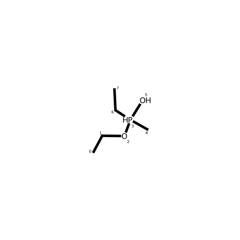 CCO[PH](C)(O)CC